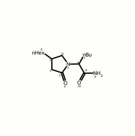 CCCCCCC1CC(=O)N(C(CCCC)C(N)=O)C1